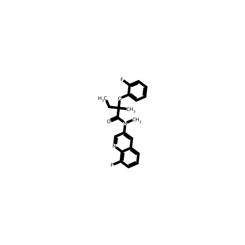 CCC(C)(Oc1ccccc1F)C(=O)N(C)c1cnc2c(F)cccc2c1